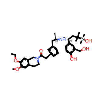 CCOc1cc2c(cc1OC)CCN(C(=O)Cc1cccc(C[C@@H](C)NC[C@H](CC(C)(C)[Si](C)(C)O)c3ccc(O)c(CO)c3)c1)C2